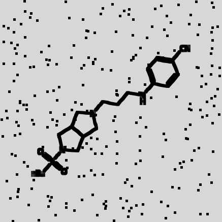 CCCCS(=O)(=O)N1CC2CN(CCCNc3ccc(C#N)cc3)CC2C1